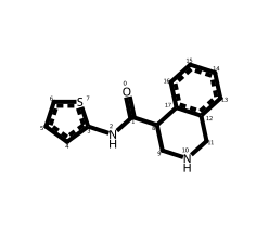 O=C(Nc1cccs1)C1CNCc2ccccc21